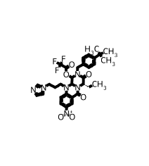 CC[C@H]1C(=O)N(Cc2ccc(C(C)(C)C)cc2)C(OC(=O)C(F)(F)F)C2N(CCCn3ccnc3)c3ccc([N+](=O)[O-])cc3C(=O)N21